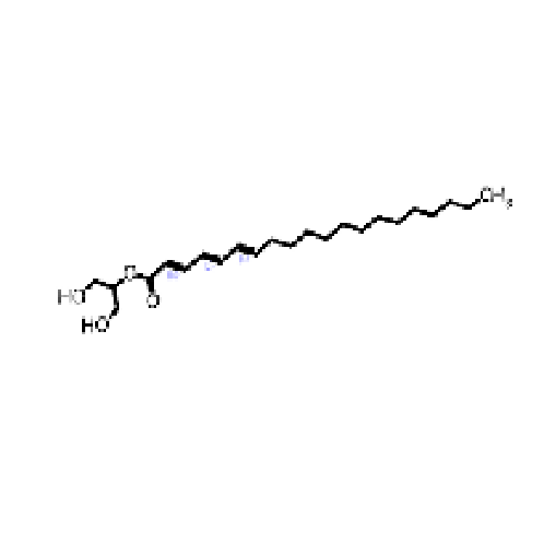 CCCCCCCCCCCCC/C=C/C=C/C=C/C(=O)OC(CO)CO